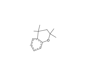 CC1(C)CC(C)(C)c2c[c]ccc2O1